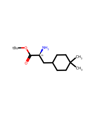 CC1(C)CCC(C[C@H](N)C(=O)OC(C)(C)C)CC1